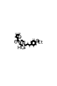 CCOc1ccc(CCCN2CCN(C(=O)c3ccco3)CC2)cc1.Cl